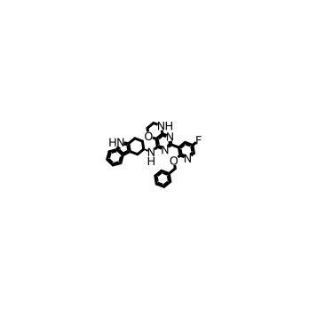 Fc1cnc(OCc2ccccc2)c(-c2nc3c(c(N[C@@H]4CCc5[nH]c6ccccc6c5C4)n2)OCCN3)c1